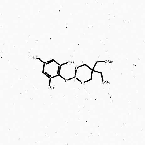 COCC1(COC)COP(Oc2c(C(C)(C)C)cc(C)cc2C(C)(C)C)OC1